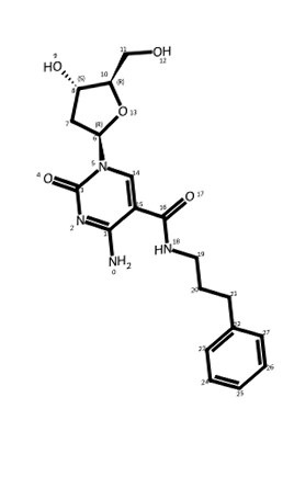 Nc1nc(=O)n([C@H]2C[C@H](O)[C@@H](CO)O2)cc1C(=O)NCCCc1ccccc1